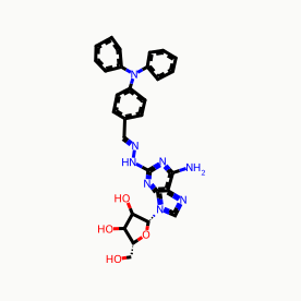 Nc1nc(N/N=C/c2ccc(N(c3ccccc3)c3ccccc3)cc2)nc2c1ncn2[C@@H]1O[C@H](CO)C(O)C1O